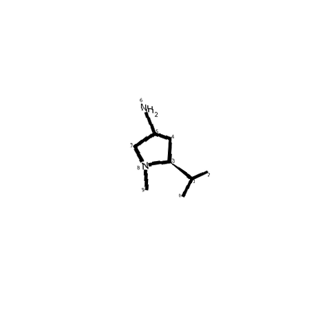 CC(C)[C@@H]1CC(N)CN1C